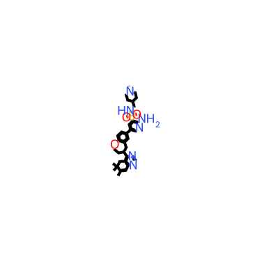 CC1=Cc2ncnc(C3CCOc4ccc(-c5cnc(N)c(S(=O)(=O)NCC6CCN(C)CC6)c5)cc4C3)c2CC1(C)C